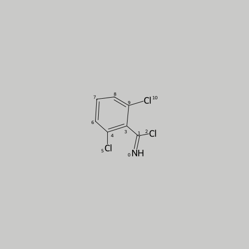 N=C(Cl)c1c(Cl)cccc1Cl